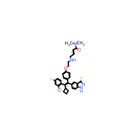 CN(C)C(=O)/C=C/CNCCOc1ccc(/C(=C(\c2ccc(F)cc2Cl)C2CCC2)c2ccc3[nH]nc(F)c3c2)cc1